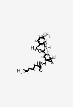 C=CCCCC(=O)NC[C@@]12C[C@@H](C(=O)Nc3nc(C(F)(F)F)ccc3C)N[C@@H]1C2